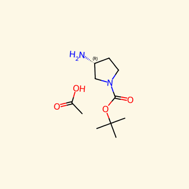 CC(=O)O.CC(C)(C)OC(=O)N1CC[C@@H](N)C1